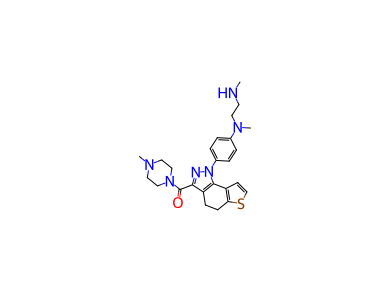 CNCCN(C)c1ccc(-n2nc(C(=O)N3CCN(C)CC3)c3c2-c2ccsc2CC3)cc1